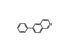 c1ccc(-c2ccc3cnccc3c2)cc1